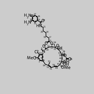 COc1cc2cc(c1Cl)N(C)C(=O)C[C@H](OC(=O)CCCCCNC(=O)c1ccc(N)c(N)c1)[C@]1(C)O[C@H]1[C@H](C)[C@@H]1C[C@@](O)(NC(=O)O1)[C@H](OC)/C=C/C=C(\C)C2